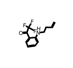 C=CCCNc1ccccc1C(=O)C(F)(F)F